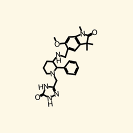 COc1cc2c(cc1CNC1CCCN(Cc3n[nH]c(=O)[nH]3)C1c1ccccc1)C(C)(C)C(=O)N2C